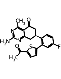 CC(=O)c1ccc(-c2cc(F)ccc2[C@@H]2CC(=O)c3c(C)nc(N)nc3C2)s1